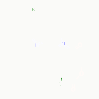 CC[C@@]1(Cl)C(=O)OCc2c1cc1n(c2=O)Cc2cc3c(Br)cccc3nc2-1